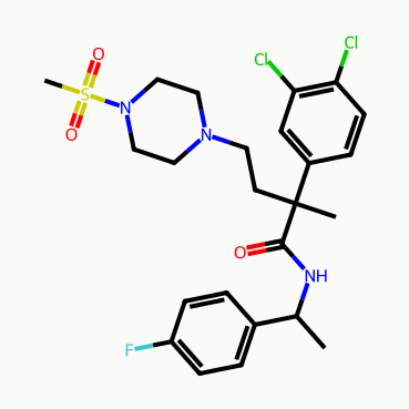 CC(NC(=O)C(C)(CCN1CCN(S(C)(=O)=O)CC1)c1ccc(Cl)c(Cl)c1)c1ccc(F)cc1